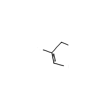 CC(=O)C(=CCl)CC(C)C